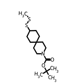 CSSC1CCC2(CC1)CCN(C(=O)OC(C)(C)C)CC2